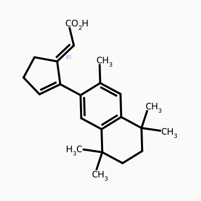 Cc1cc2c(cc1C1=CCC/C1=C\C(=O)O)C(C)(C)CCC2(C)C